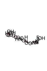 O=C(CCCOc1ccc2nc(-c3cn(-c4ccc(O)c(F)c4)nn3)ccc2c1)NCCOCCC(=O)NCCOCCOCCOCCOC[C@@]12C[C@@H](C[C@@H](O)[C@H]1O)OO2